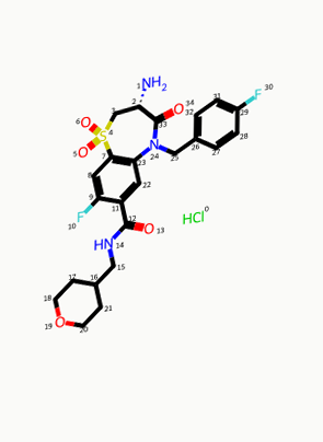 Cl.N[C@H]1CS(=O)(=O)c2cc(F)c(C(=O)NCC3CCOCC3)cc2N(Cc2ccc(F)cc2)C1=O